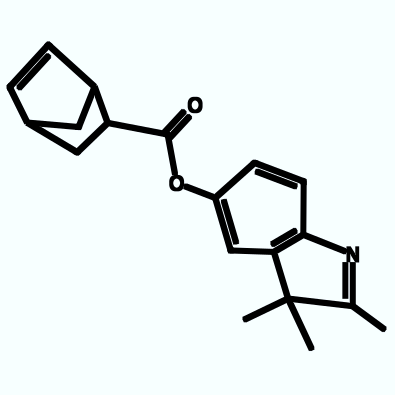 CC1=Nc2ccc(OC(=O)C3CC4C=CC3C4)cc2C1(C)C